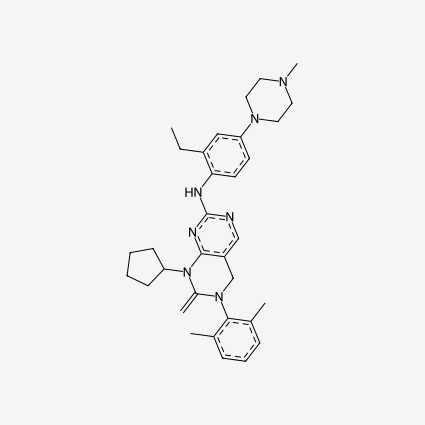 C=C1N(c2c(C)cccc2C)Cc2cnc(Nc3ccc(N4CCN(C)CC4)cc3CC)nc2N1C1CCCC1